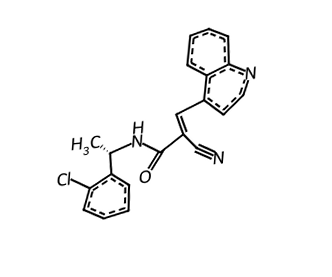 C[C@H](NC(=O)/C(C#N)=C/c1ccnc2ccccc12)c1ccccc1Cl